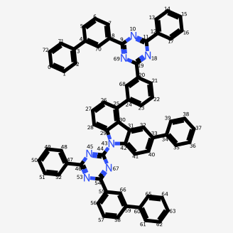 c1ccc(-c2cccc(-c3nc(-c4ccccc4)nc(-c4cccc(-c5cccc6c5c5cc(-c7ccccc7)ccc5n6-c5nc(-c6ccccc6)nc(-c6cccc(-c7ccccc7)c6)n5)c4)n3)c2)cc1